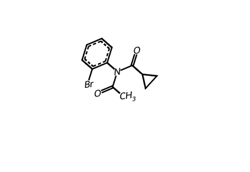 CC(=O)N(C(=O)C1CC1)c1ccccc1Br